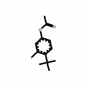 CC(=O)Oc1ccc(C(C)(C)C)c(I)c1